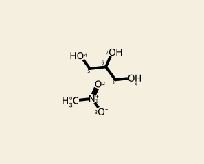 C[N+](=O)[O-].OCC(O)CO